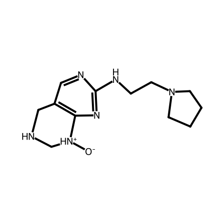 [O-][NH+]1CNCc2cnc(NCCN3CCCC3)nc21